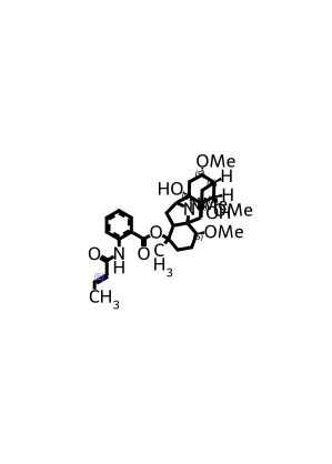 C/C=C/C(=O)Nc1ccccc1C(=O)OC1(C)CC[C@H](OC)C23C1CC(N2NC)[C@@]1(O)C[C@H](OC)[C@H]2CC3[C@]1(O)[C@H]2OC